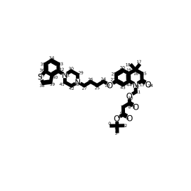 CC(C)(C)OC(=O)CC(=O)OCN1C(=O)CC(C)(C)c2ccc(OCCCCN3CCN(c4cccc5sccc45)CC3)cc21